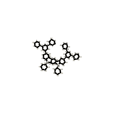 c1ccc(-c2cc(-c3ccccc3)cc(-c3ccc4c(c3)c3cc5c6cc(-c7cc(-c8ccccc8)cc(-c8ccccc8)c7)ccc6n(-c6ccccc6)c5cc3n4-c3ccccc3)c2)cc1